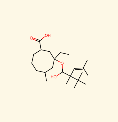 CCC1(OC(O)C(C)(C=C(C)C)C(C)(C)C)CC(C)CCCC(C(=O)O)C1